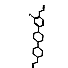 C=CCc1ccc(C2CCC(C3CCC(CC=C)CC3)CC2)cc1F